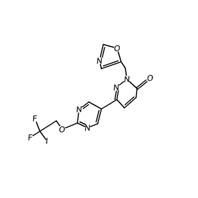 O=c1ccc(-c2cnc(OCC(F)(F)I)nc2)nn1Cc1cnco1